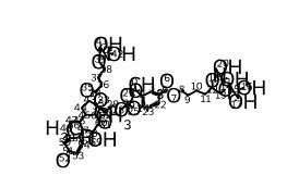 COc1cc(C(=O)OCCCCC(CON(O)O)ON(O)O)ccc1OC(=O)OCC(=O)[C@@]1(OC(=O)CCCON(O)O)CCC2C3CCC4=CC(=O)C=C[C@]4(C)[C@H]3[C@@H](O)C[C@@]21C